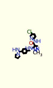 Cn1ncc(C(=O)Nc2ccc(Cl)cn2)c1NCc1ccc(C(=N)N2CCCC2)cc1